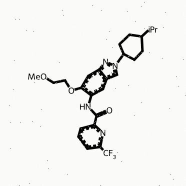 COCCOc1cc2nn(C3CCC(C(C)C)CC3)cc2cc1NC(=O)c1cccc(C(F)(F)F)n1